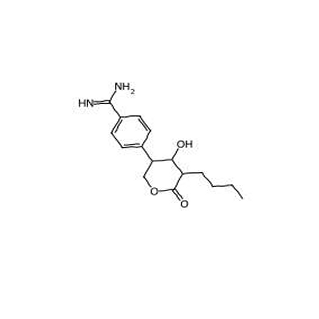 CCCCC1C(=O)OCC(c2ccc(C(=N)N)cc2)C1O